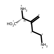 C=C(CCN)[C@@H](N)C(=O)O